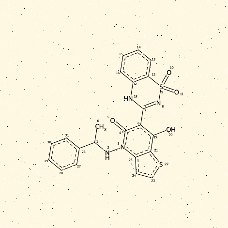 CC(Nn1c(=O)c(C2=NS(=O)(=O)c3ccccc3N2)c(O)c2sccc21)c1ccccc1